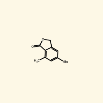 Cc1cc(C(C)(C)C)cc2c1C(=O)OC2